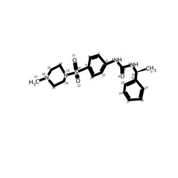 C[C@H](NC(=O)Nc1ccc(S(=O)(=O)N2CCN(C)CC2)cc1)c1ccccc1